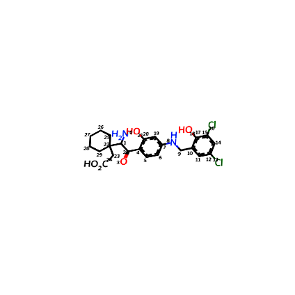 NC(C(=O)c1ccc(NCc2cc(Cl)cc(Cl)c2O)cc1O)C1(CC(=O)O)CCCCC1